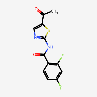 CC(=O)c1cnc(NC(=O)c2ccc(F)cc2F)s1